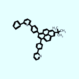 CC(C)(C)c1cc2ccc3c(-c4ccc(-c5ccccn5)cc4)cc(-c4ccc(-c5cccc(-c6ccccc6)n5)cc4)c4ccc(c1)c2c34